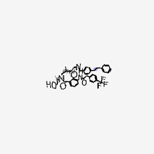 C[C@@H]1CN([C@@H](C)CO)C(=O)c2cccc(NC(=O)Cc3ccc(C(F)(F)F)cc3)c2O[C@@H]1CN(C)Cc1ccc(/C=C/c2ccccc2)cc1